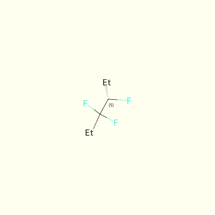 [CH2]CC(F)(F)[C@@H](F)CC